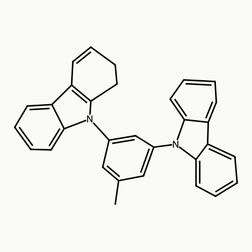 Cc1cc(-n2c3c(c4ccccc42)C=CCC3)cc(-n2c3ccccc3c3ccccc32)c1